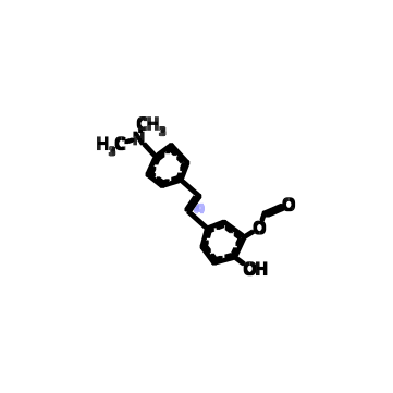 CN(C)c1ccc(/C=C/c2ccc(O)c(OC=O)c2)cc1